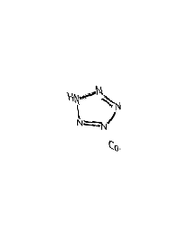 [Co].n1nn[nH]n1